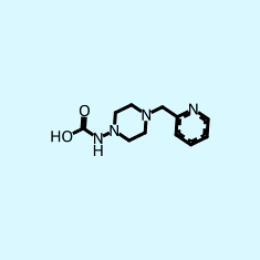 O=C(O)NN1CCN(Cc2ccccn2)CC1